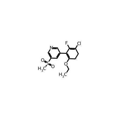 CCOC1=C(c2cncc(S(C)(=O)=O)c2)C(F)=C(Cl)C[CH]1